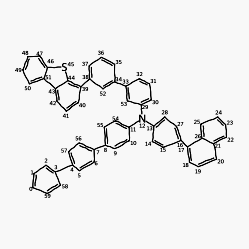 c1ccc(-c2ccc(-c3ccc(N(c4ccc(-c5cccc6ccccc56)cc4)c4cccc(-c5cccc(-c6cccc7c6sc6ccccc67)c5)c4)cc3)cc2)cc1